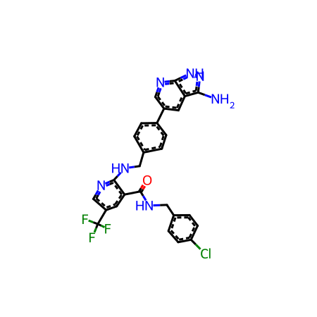 Nc1n[nH]c2ncc(-c3ccc(CNc4ncc(C(F)(F)F)cc4C(=O)NCc4ccc(Cl)cc4)cc3)cc12